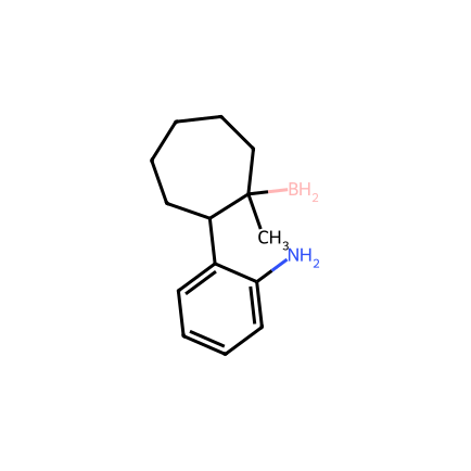 BC1(C)CCCCCC1c1ccccc1N